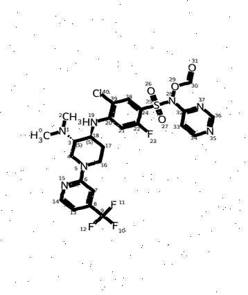 CN(C)[C@H]1CN(c2cc(C(F)(F)F)ccn2)CC[C@@H]1Nc1cc(F)c(S(=O)(=O)N(OC=O)c2ccncn2)cc1Cl